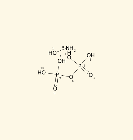 NO.O=P(O)(O)OP(=O)(O)O